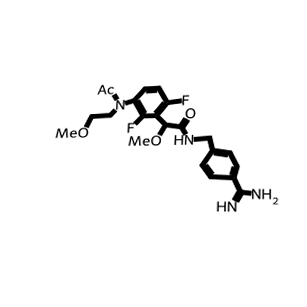 COCCN(C(C)=O)c1ccc(F)c(C(OC)C(=O)NCc2ccc(C(=N)N)cc2)c1F